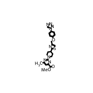 COC(=O)c1cc(C)nc(N2CCC(c3nc(COc4ccc(-n5cnnn5)cc4)cs3)CC2)n1